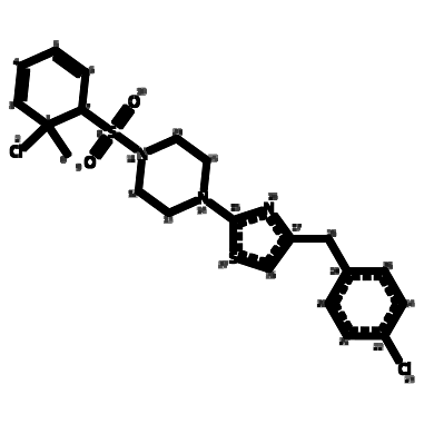 CC1(Cl)C=CC=CC1S(=O)(=O)N1CCN(c2nc(Cc3ccc(Cl)cc3)cs2)CC1